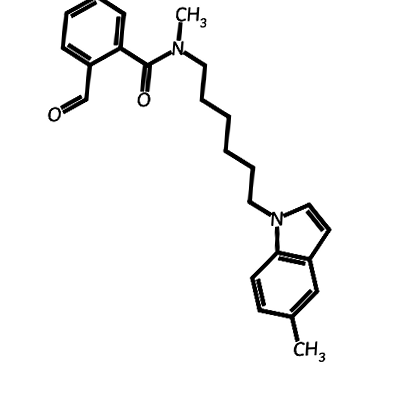 Cc1ccc2c(ccn2CCCCCCN(C)C(=O)c2ccccc2C=O)c1